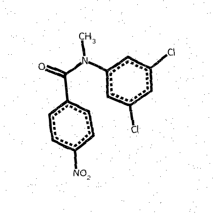 CN(C(=O)c1ccc([N+](=O)[O-])cc1)c1cc(Cl)cc(Cl)c1